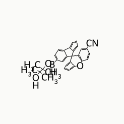 CC(C)(O)C(C)(C)OBc1ccc2c(c1)C1(c3ccccc3Oc3ccc(C#N)cc31)c1ccccc1-2